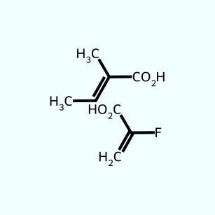 C=C(F)C(=O)O.CC=C(C)C(=O)O